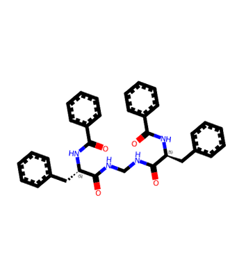 O=C(N[C@@H](Cc1ccccc1)C(=O)NCNC(=O)[C@H](Cc1ccccc1)NC(=O)c1ccccc1)c1ccccc1